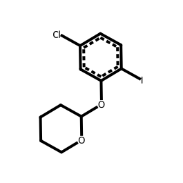 Clc1ccc(I)c(OC2CCCCO2)c1